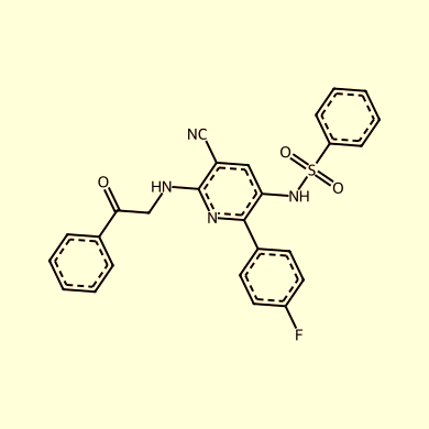 N#Cc1cc(NS(=O)(=O)c2ccccc2)c(-c2ccc(F)cc2)nc1NCC(=O)c1ccccc1